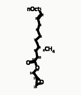 C.CCCCCCCCC=CCCCCCCCC(=O)OCC1CO1